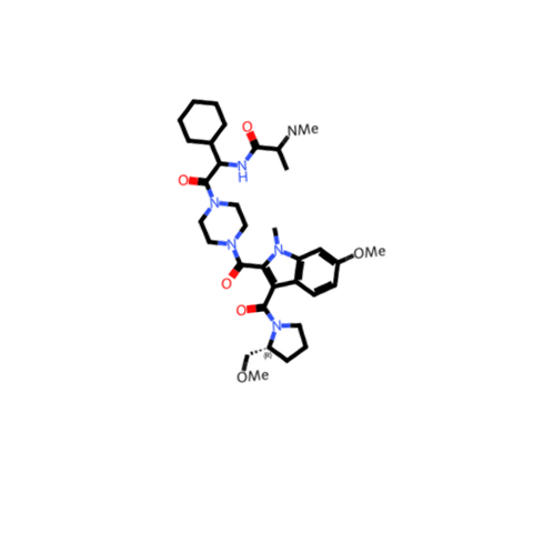 CNC(C)C(=O)NC(C(=O)N1CCN(C(=O)c2c(C(=O)N3CCC[C@@H]3COC)c3ccc(OC)cc3n2C)CC1)C1CCCCC1